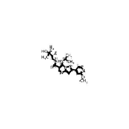 COc1cc(-c2cc3ncc(C(=O)NC[C@@H](F)C(C)(C)O)c(NC(C)C)n3n2)ccn1